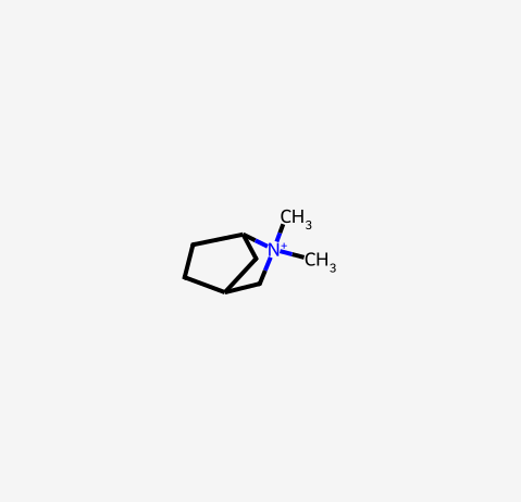 C[N+]1(C)CC2CCC1C2